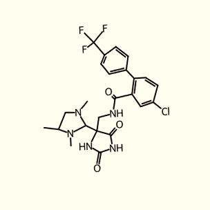 CC1CN(C)C(C2(CNC(=O)c3cc(Cl)ccc3-c3ccc(C(F)(F)F)cc3)NC(=O)NC2=O)N1C